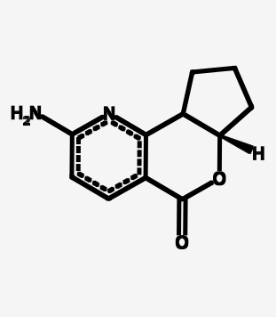 Nc1ccc2c(n1)C1CCC[C@@H]1OC2=O